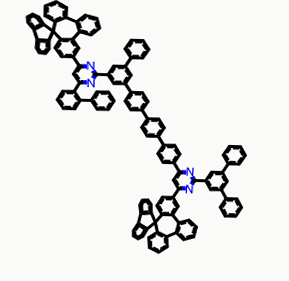 c1ccc(-c2cc(-c3ccccc3)cc(-c3nc(-c4ccc(-c5ccc(-c6ccc(-c7cc(-c8ccccc8)cc(-c8nc(-c9ccc%10c(c9)-c9ccccc9-c9ccccc9C%109c%10ccccc%10-c%10ccccc%109)cc(-c9ccccc9-c9ccccc9)n8)c7)cc6)cc5)cc4)cc(-c4ccc5c(c4)-c4ccccc4-c4ccccc4C54c5ccccc5-c5ccccc54)n3)c2)cc1